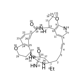 CC[C@]12CC/C=C/c3cnc4c(c3)[C@H](CC(C)(C)O4)NC(=O)c3ccc4c(c3)[C@@H](CCO4)N(C(=N)N1)C(=O)C2